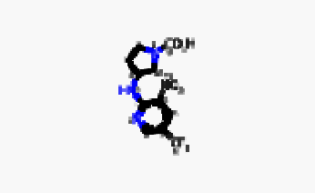 O=C(O)N1CC[C@H](Nc2ncc(C(F)(F)F)cc2[N+](=O)[O-])C1